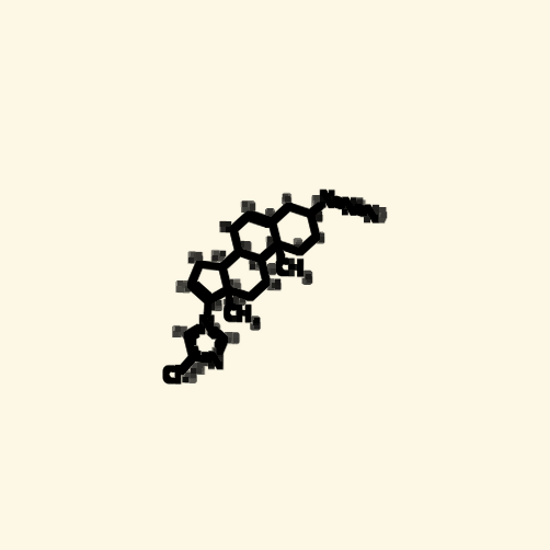 C[C@]12CCC(N=[N+]=[N-])CC1=CCC1C2CC[C@]2(C)C(n3cnc(Cl)c3)=CCC12